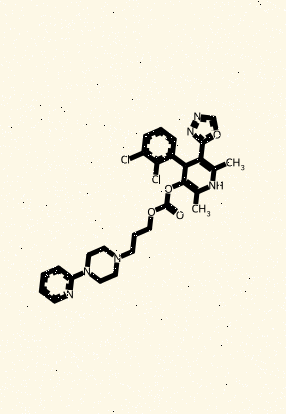 CC1=C(OC(=O)OCCCN2CCN(c3ccccn3)CC2)C(c2cccc(Cl)c2Cl)C(c2nnco2)=C(C)N1